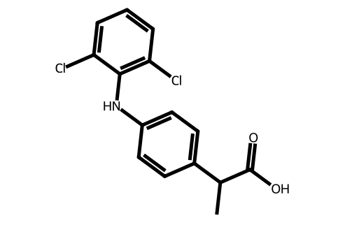 CC(C(=O)O)c1ccc(Nc2c(Cl)cccc2Cl)cc1